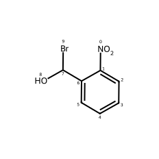 O=[N+]([O-])c1ccccc1C(O)Br